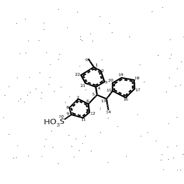 Cc1ccc(C(c2ccc(S(=O)(=O)O)cc2)C(C)c2ccccc2)cc1